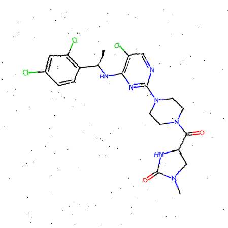 C[C@@H](Nc1nc(N2CCN(C(=O)C3CN(C)C(=O)N3)CC2)ncc1Cl)c1ccc(Cl)cc1Cl